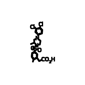 Cc1ccc(S(=O)(=O)N2CCN(c3ccc(Cl)c(Cl)c3)CC2C)cc1CC(=O)O